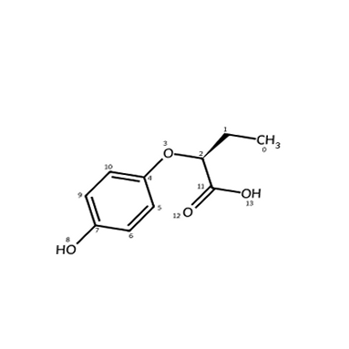 CC[C@H](Oc1ccc(O)cc1)C(=O)O